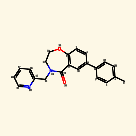 Cc1ccc(-c2ccc3c(c2)C(=O)N(Cc2ccccn2)CCO3)cc1